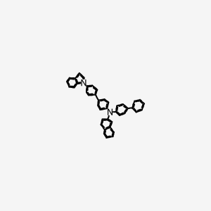 c1ccc(-c2ccc(N(c3ccc(-c4ccc(-n5ccc6ccccc65)cc4)cc3)c3ccc4ccccc4c3)cc2)cc1